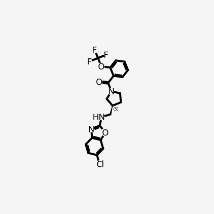 O=C(c1ccccc1OC(F)(F)F)N1CC[C@@H](CNc2nc3ccc(Cl)cc3o2)C1